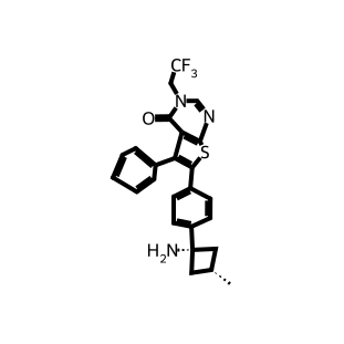 C[C@H]1C[C@](N)(c2ccc(-c3sc4ncn(CC(F)(F)F)c(=O)c4c3-c3ccccc3)cc2)C1